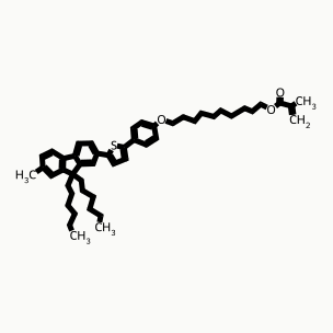 C=C(C)C(=O)OCCCCCCCCCCOc1ccc(-c2ccc(-c3ccc4c(c3)C(CCCCCC)(CCCCCC)c3cc(C)ccc3-4)s2)cc1